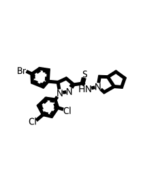 S=C(NN1CC2CCCC2C1)C1=NN(c2ccc(Cl)cc2Cl)C(c2ccc(Br)cc2)C1